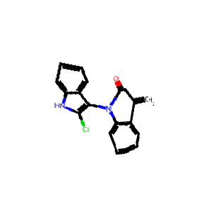 C=C1C(=O)N(c2c(Cl)[nH]c3ccccc23)c2ccccc21